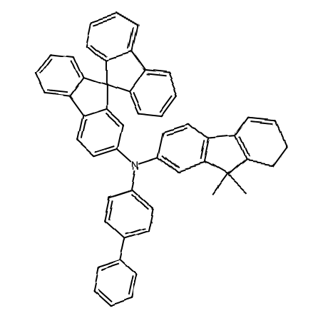 CC1(C)C2=C(C=CCC2)c2ccc(N(c3ccc(-c4ccccc4)cc3)c3ccc4c(c3)C3(c5ccccc5-c5ccccc53)c3ccccc3-4)cc21